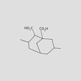 CC1CC2CC(C)C(C(=O)O)C(C(=O)O)(C1)C2